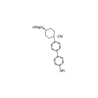 CCCCCCC[C@H]1CC[C@@](C#N)(c2ccc(-c3ccc(CCC)cc3)cc2)CC1